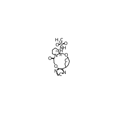 CS(=O)(=O)N[C@H]1CCCN2C(=O)COc3nccnc3C3CCC(CC3)OC[C@@H]12